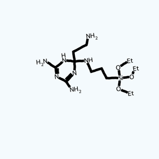 CCO[Si](CCCNC1(CCN)N=C(N)N=C(N)N1)(OCC)OCC